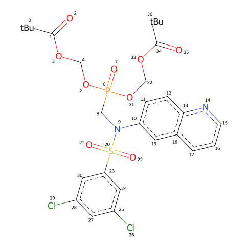 CC(C)(C)C(=O)OCOP(=O)(CN(c1ccc2ncccc2c1)S(=O)(=O)c1cc(Cl)cc(Cl)c1)OCOC(=O)C(C)(C)C